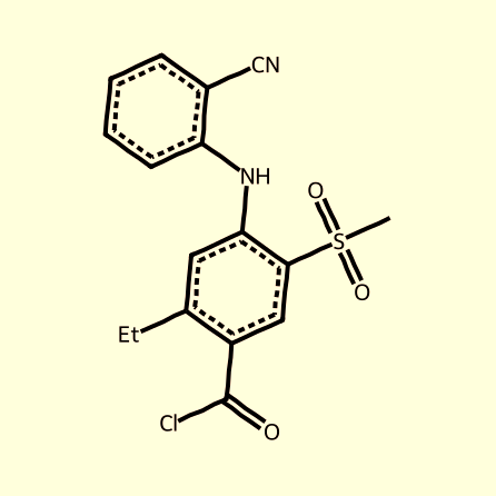 CCc1cc(Nc2ccccc2C#N)c(S(C)(=O)=O)cc1C(=O)Cl